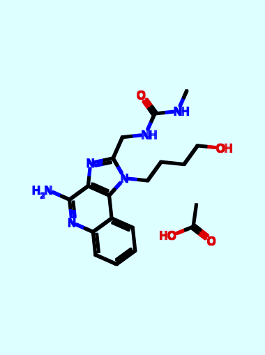 CC(=O)O.CNC(=O)NCc1nc2c(N)nc3ccccc3c2n1CCCCO